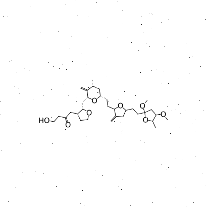 C=C1CC(CCC2(OC)C[C@@H](OC)C(C)O2)OC1CC[C@H]1C[C@@H](C)C(=C)[C@@H](C[C@@H]2OCCC2CC(=O)CCO)O1